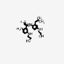 CC(C)=Cc1cc(NCCO)ccc1N.CC=C(C)c1cc(NCCO)ccc1N